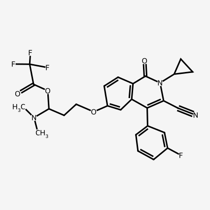 CN(C)C(CCOc1ccc2c(=O)n(C3CC3)c(C#N)c(-c3cccc(F)c3)c2c1)OC(=O)C(F)(F)F